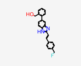 OCc1ccccc1-c1ccc2[nH]c(/C=C/c3ccc(CF)cc3)nc2c1